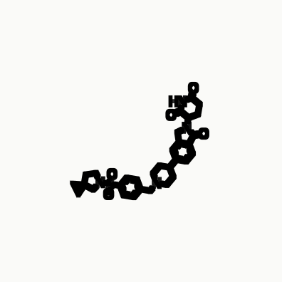 O=C1CCC(N2Cc3cc(C4CCN(Cc5ccc(S(=O)(=O)N6CCC7(CC7)C6)cc5)CC4)ccc3C2=O)C(=O)N1